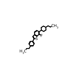 CCCc1ccc(-c2cc3ccc(C4CCC(CCC)CC4)c(F)c3s2)cc1